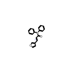 O=C(/C=C/c1ccoc1)N(c1ccccc1)c1ccccc1